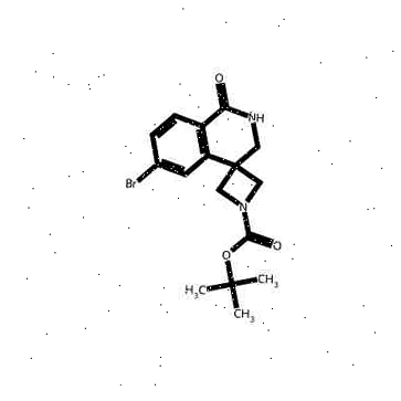 CC(C)(C)OC(=O)N1CC2(CNC(=O)c3ccc(Br)cc32)C1